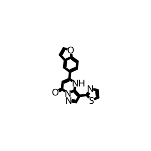 O=c1cc(-c2ccc3occc3c2)[nH]c2c(-c3nccs3)cnn12